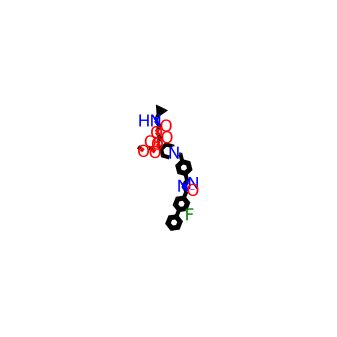 COC(=O)OC1(OC(=O)OC(=O)NC2CC2)CCN(Cc2ccc(-c3noc(-c4ccc(-c5ccccc5)c(F)c4)n3)cc2)CC1